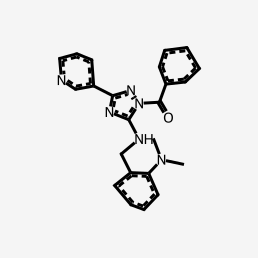 CN(C)c1ccccc1CNc1nc(-c2cccnc2)nn1C(=O)c1ccccc1